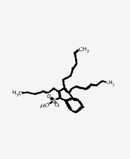 CCCCCCc1c(CCCCCC)c(S(=O)(=O)O)c2ccccc2c1CCCCCC